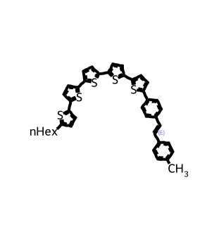 CCCCCCc1ccc(-c2ccc(-c3ccc(-c4ccc(-c5ccc(-c6ccc(/C=C/c7ccc(C)cc7)cc6)s5)s4)s3)s2)s1